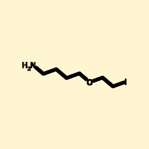 NCCCCOCCI